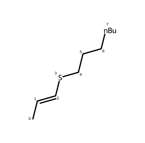 CC=CSCCCCCCC